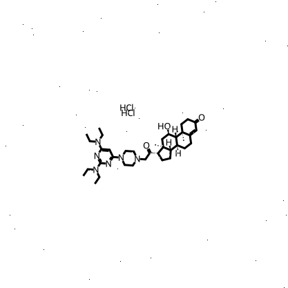 CCN(CC)c1cc(N2CCN(CC(=O)[C@H]3CC[C@H]4[C@@H]5CCC6=CC(=O)CC[C@]6(C)[C@H]5[C@H](O)C[C@]34C)CC2)nc(N(CC)CC)n1.Cl.Cl